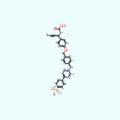 CC#CC(CC(=O)O)c1ccc(OCc2ccc(CN3CC=C(c4ccc(S(C)(=O)=O)cc4)CC3)cc2)cc1